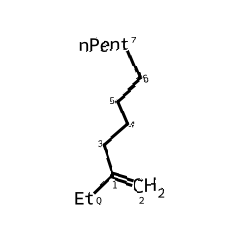 [CH2]CC(=C)CCCCCCCCC